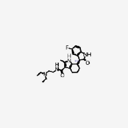 CCN(CC)CCNC(=O)c1c(C)[nH]c2c1CCC/C2=C1\C(=O)Nc2ccc(F)cc21